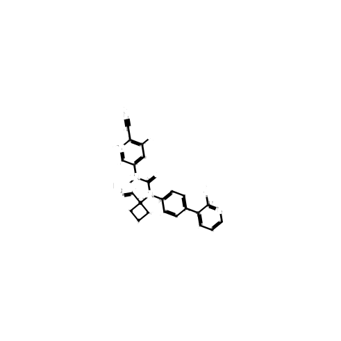 Cc1cc(N(C)C(=S)N(c2ccc(-c3cccnc3C)cc2)C2(C=O)CCC2)cnc1C#N